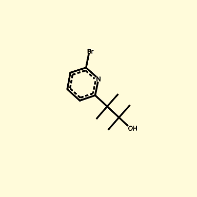 CC(C)(O)C(C)(C)c1cccc(Br)n1